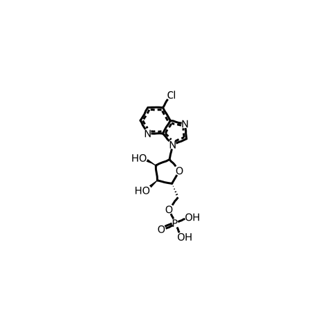 O=P(O)(O)OC[C@H]1OC(n2cnc3c(Cl)ccnc32)[C@H](O)[C@@H]1O